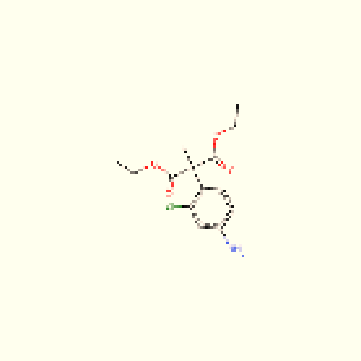 CCOC(=O)C(C)(C(=O)OCC)c1ccc(N)cc1Cl